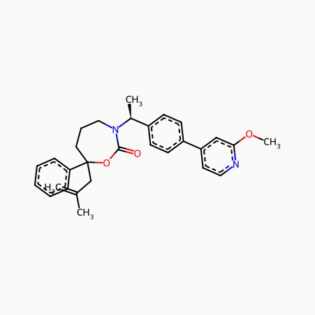 C=C(C)CC1(c2ccccc2)CCCN([C@@H](C)c2ccc(-c3ccnc(OC)c3)cc2)C(=O)O1